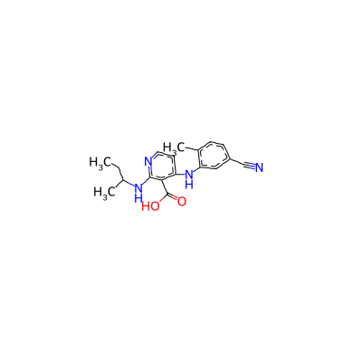 CCC(C)Nc1nccc(Nc2cc(C#N)ccc2C)c1C(=O)O